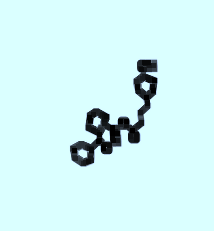 O=C(CCCc1ccc(O)cc1)ONc1ccccc1C(=O)c1ccccc1